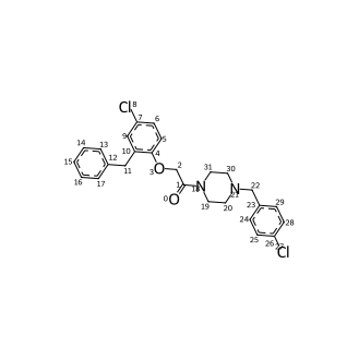 O=C(COc1ccc(Cl)cc1Cc1ccccc1)N1CCN(Cc2ccc(Cl)cc2)CC1